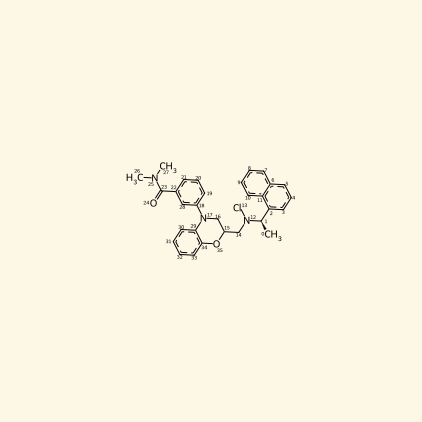 C[C@H](c1cccc2ccccc12)N(Cl)CC1CN(c2cccc(C(=O)N(C)C)c2)c2ccccc2O1